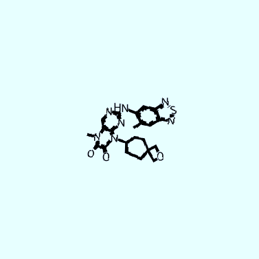 Cc1cc2nsnc2cc1Nc1ncc2c(n1)n(C1CCC3(CC1)COC3)c(=O)c(=O)n2C